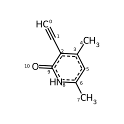 C#Cc1c(C)cc(C)[nH]c1=O